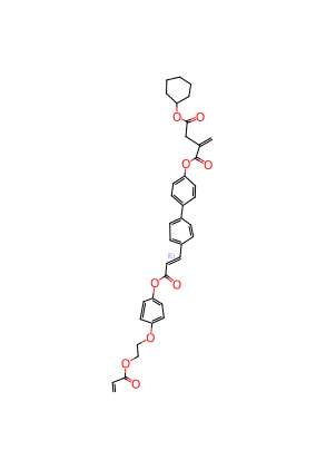 C=CC(=O)OCCOc1ccc(OC(=O)/C=C/c2ccc(-c3ccc(OC(=O)C(=C)CC(=O)OC4CCCCC4)cc3)cc2)cc1